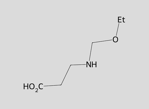 CCOCNCCC(=O)O